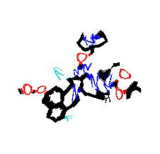 C#Cc1c(F)ccc2cc(OCOC)cc(-c3nc4c5c(nc(OCC67CCCN6CCC7)nc5c3F)N3C[C@@H](CC)N(C(=O)OC(C)(C)C)C[C@H]3CC4)c12